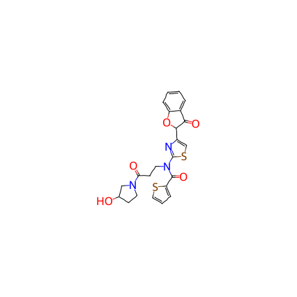 O=C1c2ccccc2OC1c1csc(N(CCC(=O)N2CCC(O)C2)C(=O)c2cccs2)n1